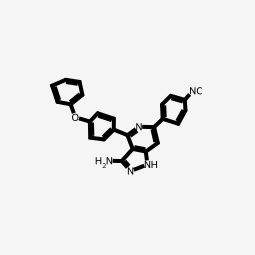 [C-]#[N+]c1ccc(-c2cc3[nH]nc(N)c3c(-c3ccc(Oc4ccccc4)cc3)n2)cc1